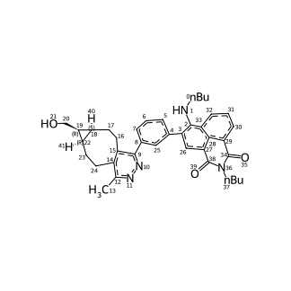 CCCCNc1c(-c2cccc(-c3nnc(C)c4c3CC[C@@H]3[C@H](CO)[C@@H]3CC4)c2)cc2c3c(cccc13)C(=O)N(CCCC)C2=O